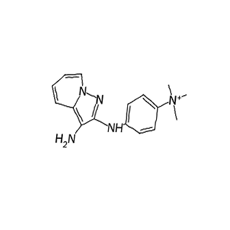 C[N+](C)(C)c1ccc(Nc2nn3ccccc3c2N)cc1